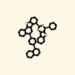 c1ccc(-c2nc(-c3cccc4oc5c6ccccc6c(-c6ccc(-c7cccc8ccccc78)cc6)cc5c34)nc3c2sc2ccccc23)cc1